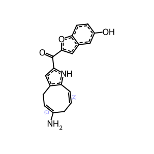 N/C1=C/Cc2cc(C(=O)c3cc4cc(O)ccc4o3)[nH]c2/C=C\C1